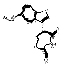 COc1ccc2occ([C@H]3CCC(=O)NC3=O)c2c1